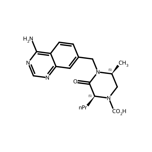 CCC[C@H]1C(=O)N(Cc2ccc3c(N)ncnc3c2)[C@@H](C)CN1C(=O)O